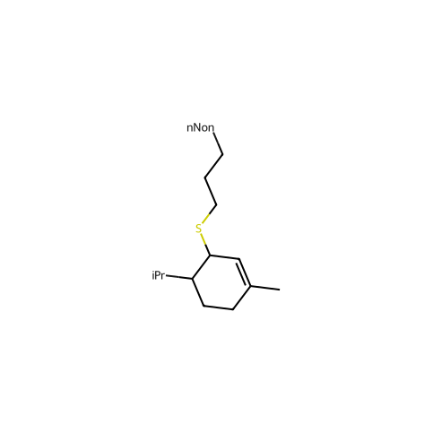 CCCCCCCCCCCCSC1C=C(C)CCC1C(C)C